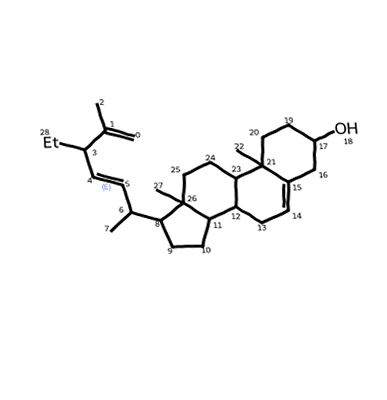 C=C(C)C(/C=C/C(C)C1CCC2C3CC=C4CC(O)CCC4(C)C3CCC12C)CC